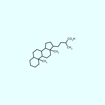 CC(CCC1CCC2C3CCC4CCCCC4(C)C3CCC12C)C(=O)O